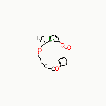 CC1COCCCCCCOc2ccc(cc2)C(=O)Oc2cccc1c2Cl